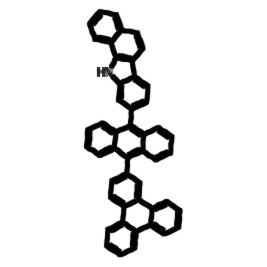 c1ccc2c(c1)ccc1c3ccc(-c4c5ccccc5c(-c5ccc6c7ccccc7c7ccccc7c6c5)c5ccccc45)cc3[nH]c21